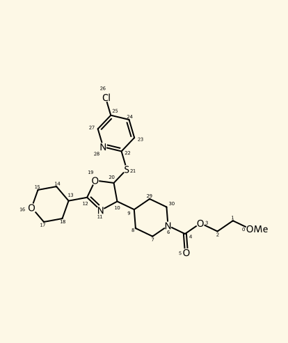 COCCOC(=O)N1CCC(C2N=C(C3CCOCC3)OC2Sc2ccc(Cl)cn2)CC1